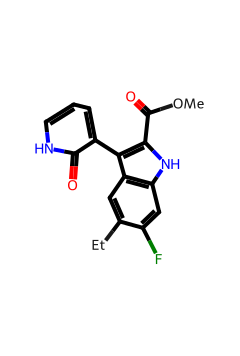 CCc1cc2c(-c3ccc[nH]c3=O)c(C(=O)OC)[nH]c2cc1F